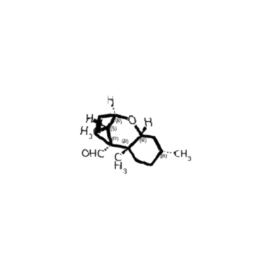 C[C@@H]1CC[C@@]2(C)[C@@H](C1)O[C@@H]1C=C[C@@]2(C=O)[C@@H]1C